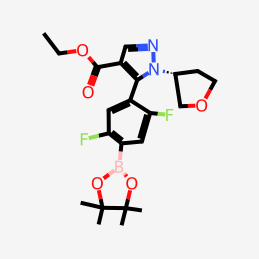 CCOC(=O)c1cnn([C@@H]2CCOC2)c1-c1cc(F)c(B2OC(C)(C)C(C)(C)O2)cc1F